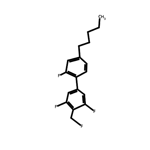 CCCCCc1ccc(-c2cc(F)c(CF)c(F)c2)c(F)c1